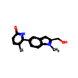 CCc1ccc(=O)[nH]c1-c1ccc2c(c1)cc(CO)n2C